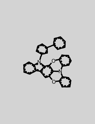 c1ccc(-c2cccc(-n3c4ccccc4c4cc5c6c(c43)Oc3ccccc3N6c3ccccc3O5)c2)cc1